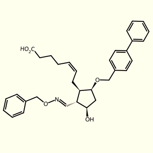 O=C(O)CCC/C=C\C[C@@H]1[C@@H](C=NOCc2ccccc2)[C@H](O)C[C@@H]1OCc1ccc(-c2ccccc2)cc1